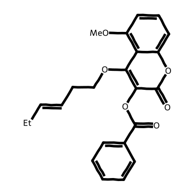 CC/C=C/CCOc1c(OC(=O)c2ccccc2)c(=O)oc2cccc(OC)c12